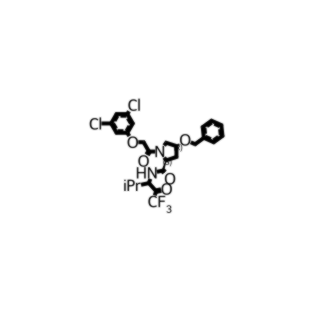 CC(C)C(NC(=O)[C@@H]1C[C@@H](OCc2ccccc2)CN1C(=O)COc1cc(Cl)cc(Cl)c1)C(=O)C(F)(F)F